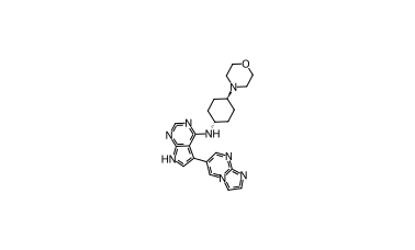 c1nc(N[C@H]2CC[C@H](N3CCOCC3)CC2)c2c(-c3cnc4nccn4c3)c[nH]c2n1